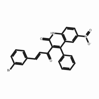 O=C(C=Cc1cccc(Br)c1)c1c(-c2ccccc2)c2cc([N+](=O)[O-])ccc2[nH]c1=O